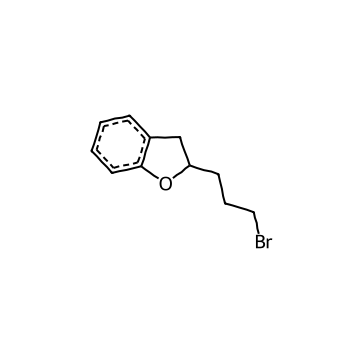 BrCCCC1Cc2ccccc2O1